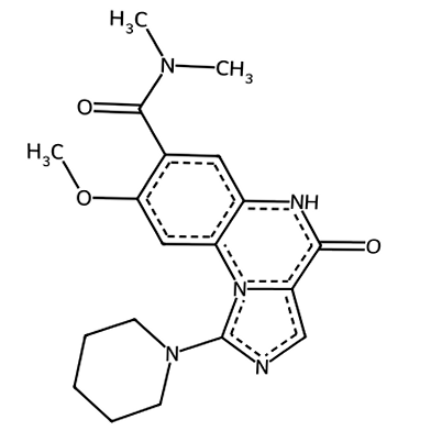 COc1cc2c(cc1C(=O)N(C)C)[nH]c(=O)c1cnc(N3CCCCC3)n12